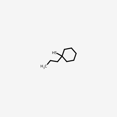 CCCC1(S)CCCCC1